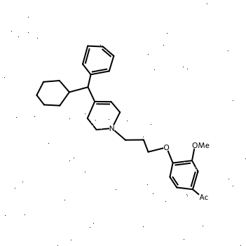 COc1cc(C(C)=O)ccc1OCCCN1CC=C(C(c2ccccc2)C2CCCCC2)CC1